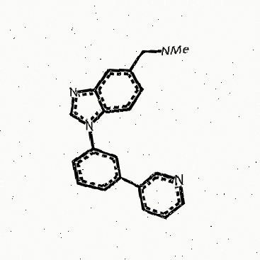 CNCc1ccc2c(c1)ncn2-c1cccc(-c2cccnc2)c1